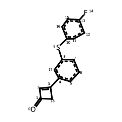 O=C1C=C(c2cccc(Sc3ccc(F)cc3)c2)C1